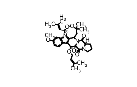 COc1ccc2c3c4n(c2c1)[C@@H](C=C(C)C)OOC(C)(C)CC4N1C(=O)[C@@H]2CCCN2C(=O)[C@]1(O)[C@H]3OCC=C(C)C